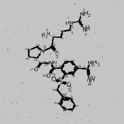 N=C(N)NCCC[C@@H](N)C(=O)N1CCC[C@H]1C(=O)NC(=O)c1ccc(C(=N)N)cc1S(=O)(=O)Cc1ccccc1